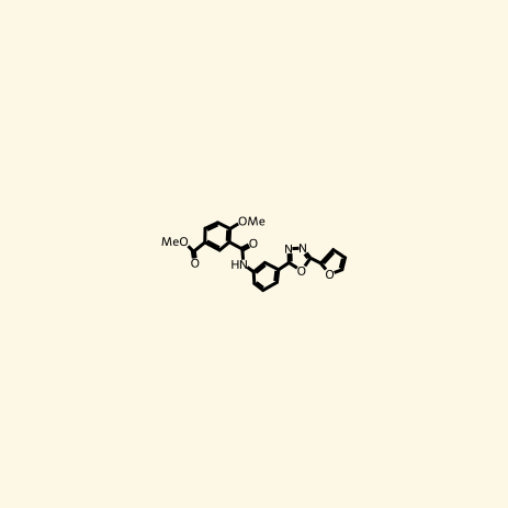 COC(=O)c1ccc(OC)c(C(=O)Nc2cccc(-c3nnc(-c4ccco4)o3)c2)c1